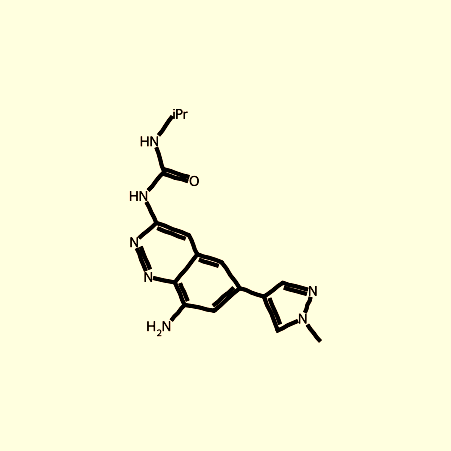 CC(C)NC(=O)Nc1cc2cc(-c3cnn(C)c3)cc(N)c2nn1